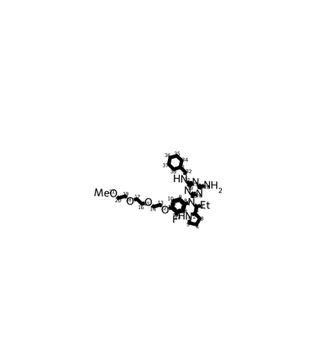 CCC(C1CCCN1)N(c1ccc(OCCOCCOCCOC)c(F)c1)c1nc(N)nc(NCC2CCCCC2)n1